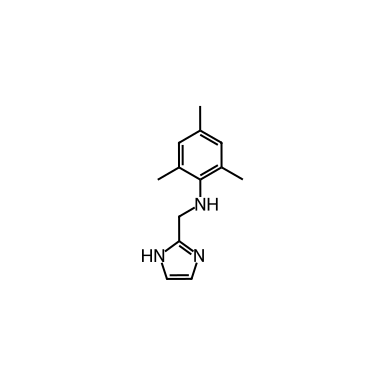 Cc1cc(C)c(NCc2ncc[nH]2)c(C)c1